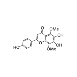 COc1c(O)c(O)c(OC)c2c(=O)cc(-c3ccc(O)cc3)oc12